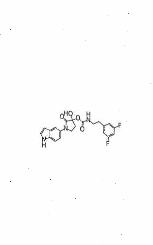 O=C(NCCc1cc(F)cc(F)c1)OC1(O)CCN(c2ccc3[nH]ccc3c2)C1=O